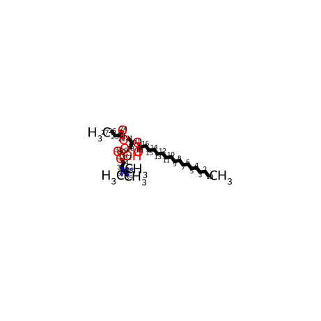 CCCCCCCCCCCCCCCCCC(=O)OC(COC(=O)CCC)COP(=O)(O)OCC[N+](C)(C)C